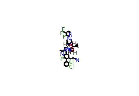 Cc1nc2c(F)c(-c3cccc(Cl)c3Cl)c(CCC#N)cc2c2c1cc([C@H]1[C@H]3C[C@H](CN(c4nccc(C(F)F)c4F)C3)N1C(=O)C1CC1)n2[C@H]1[C@H]2CN[C@@H]1C2